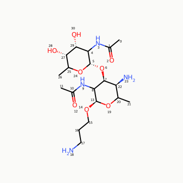 CC(=O)NC1[C@H](O[C@@H]2C(NC(C)=O)[C@H](OCCCN)OC(C)[C@@H]2N)OC(C)[C@H](O)[C@@H]1O